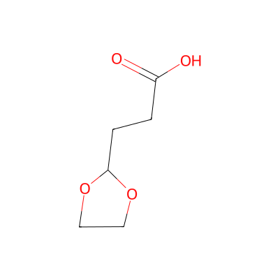 O=C(O)CCC1OCCO1